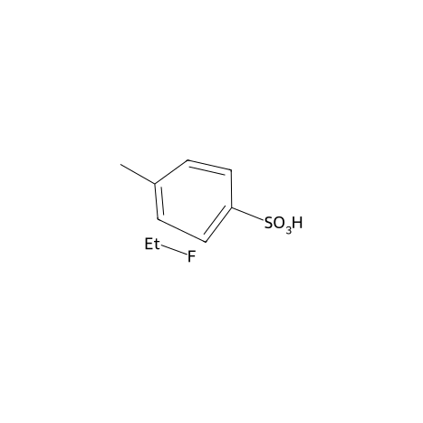 CCF.Cc1ccc(S(=O)(=O)O)cc1